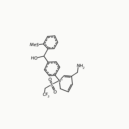 CSc1ccccc1C(O)c1ccc([N+]2(S(=O)(=O)CC(F)(F)F)C=C(CN)C=CC2)cc1